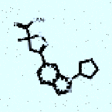 COC(=O)C1(C)CC(c2ccc3cnn(C4CCCC4)c3c2)=NO1